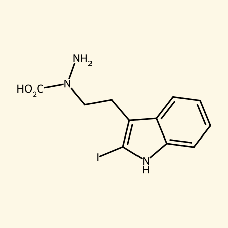 NN(CCc1c(I)[nH]c2ccccc12)C(=O)O